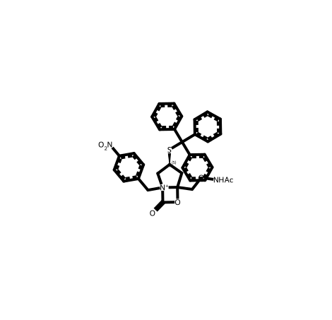 CC(=O)NOCC12C[C@H](SC(c3ccccc3)(c3ccccc3)c3ccccc3)C[N+]1(Cc1ccc([N+](=O)[O-])cc1)C(=O)O2